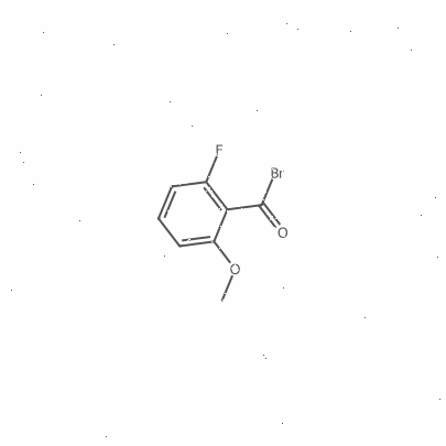 COc1cccc(F)c1C(=O)Br